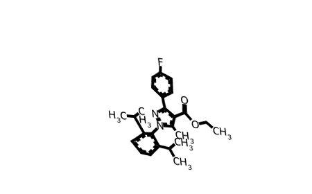 CCOC(=O)c1c(-c2ccc(F)cc2)nn(-c2c(C(C)C)cccc2C(C)C)c1C